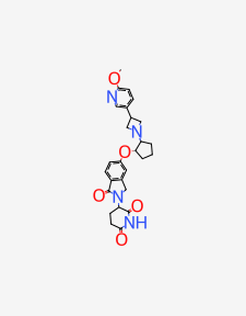 COc1ccc(C2CN([C@H]3CCC[C@@H]3Oc3ccc4c(c3)CN(C3CCC(=O)NC3=O)C4=O)C2)cn1